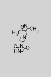 Cc1noc(C)c1CN1C=C(N2C(=O)CNC2=O)CC1